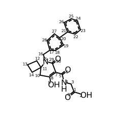 O=C(O)CNC(=O)C1=C(O)CC2(CCC2)N(Cc2ccc(-c3ccccc3)cc2)C1=O